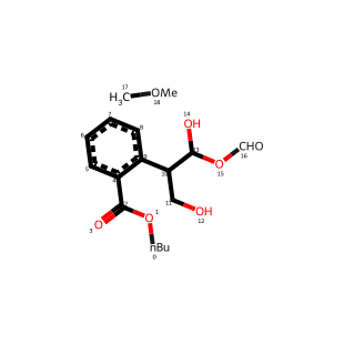 CCCCOC(=O)c1ccccc1C(CO)C(O)OC=O.COC